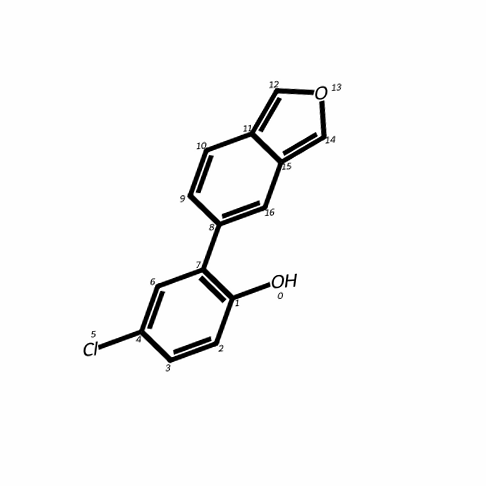 Oc1ccc(Cl)cc1-c1ccc2cocc2c1